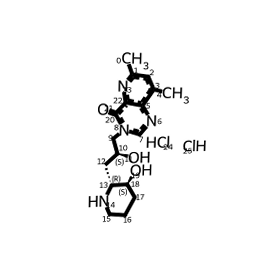 Cc1cc(C)c2ncn(C[C@@H](O)C[C@H]3NCCC[C@@H]3O)c(=O)c2n1.Cl.Cl